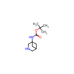 CC(C)(C)OC(=O)NC12CNCC(C1)C2